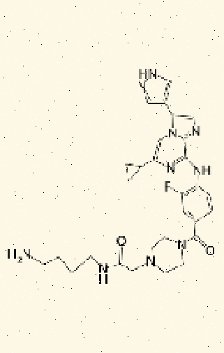 NCCCCNC(=O)CN1CCN(C(=O)c2ccc(Nc3nc(C4CC4)cn4c(-c5cn[nH]c5)cnc34)c(F)c2)CC1